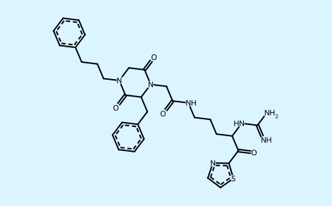 N=C(N)NC(CCCNC(=O)CN1C(=O)CN(CCCc2ccccc2)C(=O)C1Cc1ccccc1)C(=O)c1nccs1